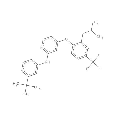 CC(C)Cc1nc(C(F)(F)F)ccc1Oc1ccnc(Nc2ccnc(C(C)(C)O)c2)c1